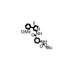 COc1ccccc1-c1cc(NC(=O)[C@H]2CCC[C@@H](NC(=O)OC(C)(C)C)C2)ncc1F